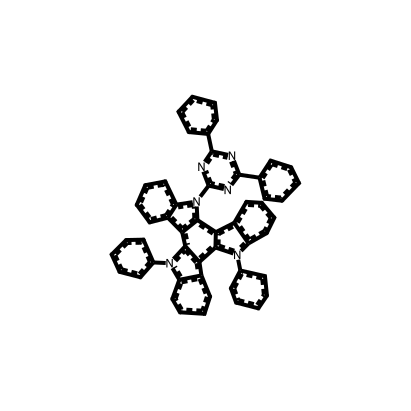 c1ccc(-c2nc(-c3ccccc3)nc(-n3c4ccccc4c4c5c(c6ccccc6n5-c5ccccc5)c5c(c6ccccc6n5-c5ccccc5)c43)n2)cc1